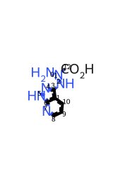 NN(Nc1n[nH]c2ncccc12)C(=O)O